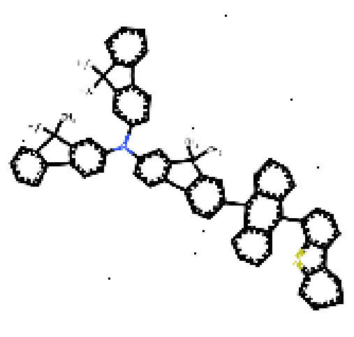 CC1(C)c2ccccc2-c2ccc(N(c3ccc4c(c3)C(C)(C)c3ccccc3-4)c3ccc4c(c3)C(C)(C)c3cc(-c5c6ccccc6c(-c6cccc7c6sc6ccccc67)c6ccccc56)ccc3-4)cc21